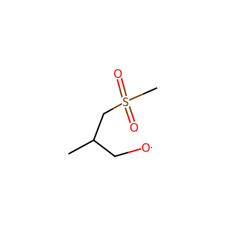 CC(C[O])CS(C)(=O)=O